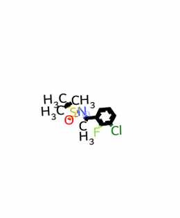 C/C(=N\[S+]([O-])C(C)(C)C)c1cccc(Cl)c1F